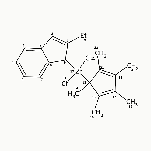 CCC1=Cc2ccccc2[CH]1[Zr]([Cl])([Cl])[C]1(C)C(C)=C(C)C(C)=C1C